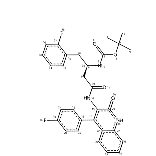 CC(C)(C)OC(=O)N[C@@H](CC(=O)Nc1c(-c2ccc(F)cc2)c2ccccc2[nH]c1=O)Cc1ccccc1F